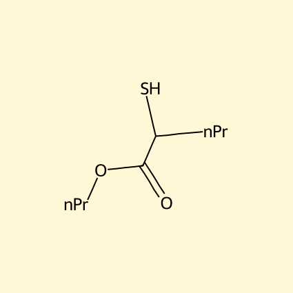 CCCOC(=O)C(S)CCC